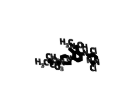 CN1Cc2c(N3CCN(C(=O)OC(C)(C)C)CC3)ccc(Nc3nc(Cl)ncc3Cl)c2C1=O